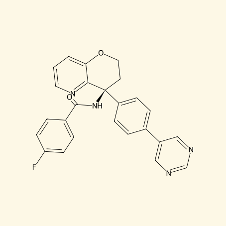 O=C(N[C@]1(c2ccc(-c3cncnc3)cc2)CCOc2cccnc21)c1ccc(F)cc1